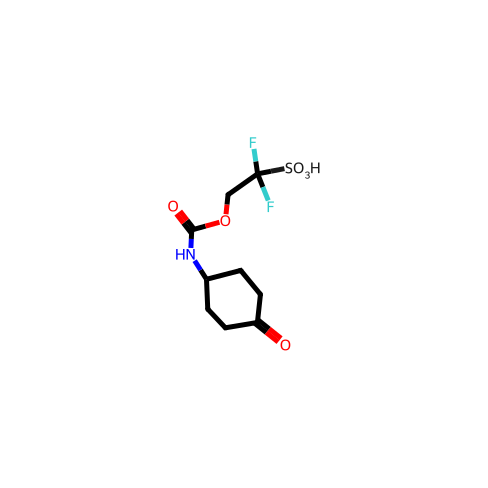 O=C1CCC(NC(=O)OCC(F)(F)S(=O)(=O)O)CC1